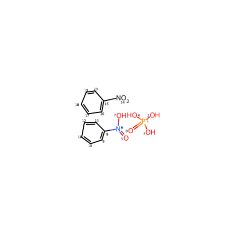 O=P(O)(O)O.O=[N+](O)c1ccccc1.O=[N+]([O-])c1ccccc1